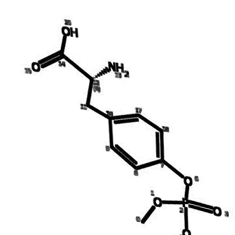 COP(=O)(OC)Oc1ccc(C[C@@H](N)C(=O)O)cc1